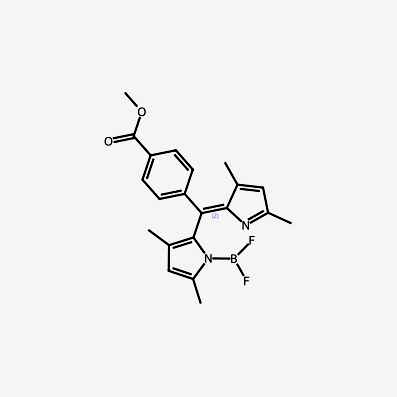 COC(=O)c1ccc(/C(=C2/N=C(C)C=C2C)c2c(C)cc(C)n2B(F)F)cc1